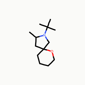 CC1CC2(CCCCO2)CN1C(C)(C)C